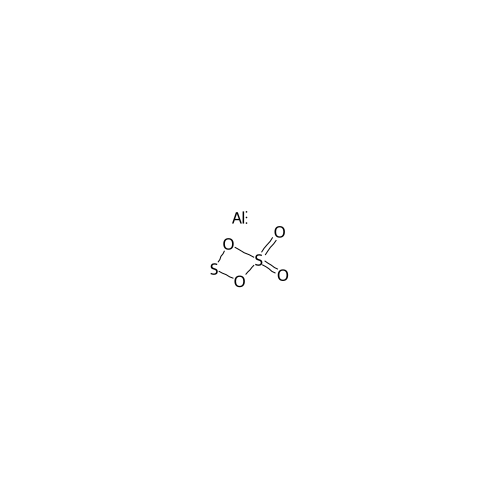 O=S1(=O)OSO1.[Al]